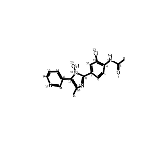 CC(=O)Nc1ccc(-c2nc(C)c(-c3cccnc3)n2O)cc1Cl